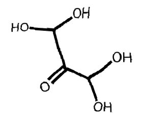 O=C(C(O)O)C(O)O